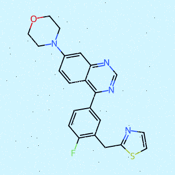 Fc1ccc(-c2ncnc3cc(N4CCOCC4)ccc23)cc1Cc1nccs1